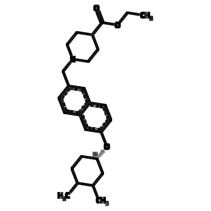 CCOC(=O)C1CCN(Cc2ccc3cc(O[C@H]4CCC(C)C(C)C4)ccc3c2)CC1